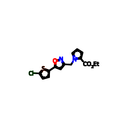 CCOC(=O)c1cccn1Cc1cc(-c2ccc(Cl)s2)on1